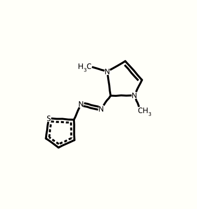 CN1C=CN(C)C1N=Nc1cccs1